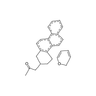 C1=CCOC=C1.CC(=O)CC1CCc2c(ccc3c2ccc2ccccc23)C1